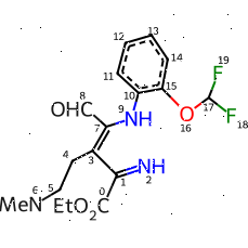 CCOC(=O)C(=N)/C(CCNC)=C(/C=O)Nc1ccccc1OC(F)F